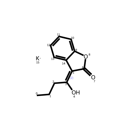 CCC/C(O)=C1/C(=O)Oc2ccccc21.[K]